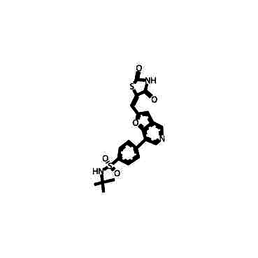 CC(C)(C)NS(=O)(=O)c1ccc(-c2cncc3cc(/C=C4/SC(=O)NC4=O)oc23)cc1